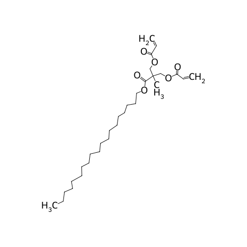 C=CC(=O)OCC(C)(COC(=O)C=C)C(=O)OCCCCCCCCCCCCCCCCCCC